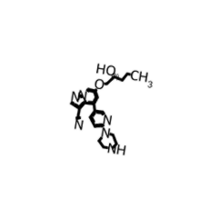 CCC[C@@H](O)COc1cc(-c2ccc(N3CCNCC3)nc2)c2c(C#N)cnn2c1